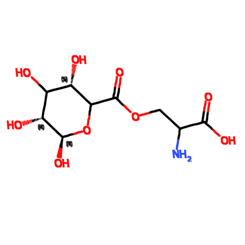 NC(COC(=O)C1O[C@@H](O)[C@H](O)C(O)[C@@H]1O)C(=O)O